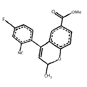 [C-]#[N+]c1cc(F)ccc1C1=CC(C)Oc2ccc(C(=O)OC)cc21